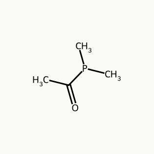 CC(=O)P(C)C